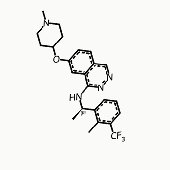 Cc1c([C@@H](C)Nc2nncc3ccc(OC4CCN(C)CC4)cc23)cccc1C(F)(F)F